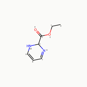 CCOC(=O)C1N=CC=CN1